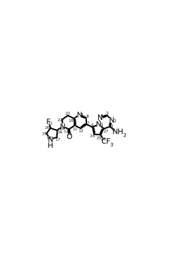 Nc1ncnn2c(-c3cnc4c(c3)C(=O)N(C3CNCC3F)CC4)cc(C(F)(F)F)c12